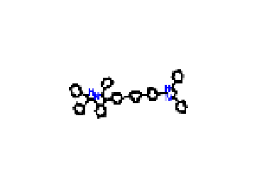 C1=CCC(c2cc(C3=CCCC=C3)nc(C3=CC=C(c4ccc(-c5ccc(-c6c(-c7ccccc7)n7nc(-c8ccccc8)c(-c8ccccc8)c7c7ccccc67)cc5)cc4)CC3)n2)C=C1